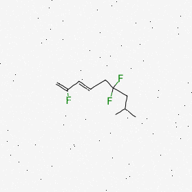 C=C(F)/C=C/CC(F)(F)CC(C)C